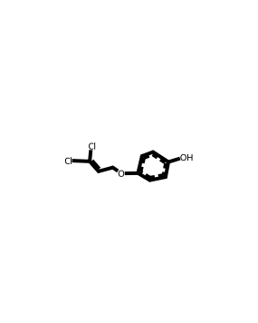 Oc1ccc(OCC=C(Cl)Cl)cc1